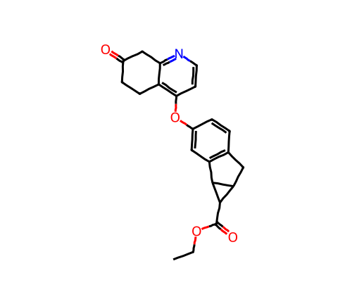 CCOC(=O)C1C2Cc3ccc(Oc4ccnc5c4CCC(=O)C5)cc3C21